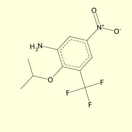 CC(C)Oc1c(N)cc([N+](=O)[O-])cc1C(F)(F)F